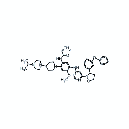 C=CC(=O)Nc1cc(Nc2cc(N3OCC[C@@H]3c3cccc(Oc4ccccc4)c3)ncn2)c(OC)cc1N1CCC(N2CCN(C(C)C)CC2)CC1